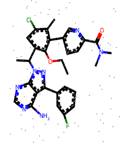 CCOc1c(C(C)n2nc(-c3cccc(F)c3)c3c(N)ncnc32)cc(Cl)c(C)c1-c1ccc(C(=O)N(C)C)nc1